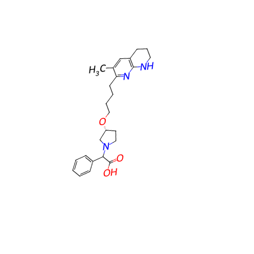 Cc1cc2c(nc1CCCCO[C@@H]1CCN(C(C(=O)O)c3ccccc3)C1)NCCC2